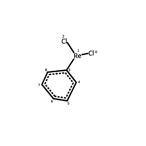 [Cl][Re]([Cl])[c]1ccccc1